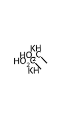 CC(=O)O.CC(=O)O.[KH].[KH]